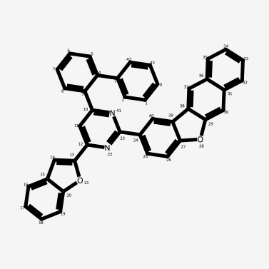 c1ccc(-c2ccccc2-c2cc(-c3cc4ccccc4o3)nc(-c3ccc4oc5cc6ccccc6cc5c4c3)n2)cc1